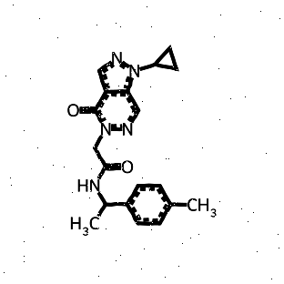 Cc1ccc(C(C)NC(=O)Cn2ncc3c(cnn3C3CC3)c2=O)cc1